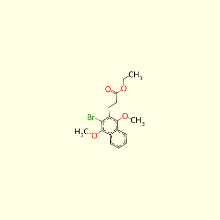 CCOC(=O)CCc1c(Br)c(OC)c2ccccc2c1OC